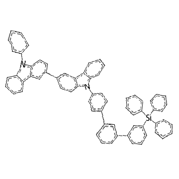 c1ccc(-n2c3ccccc3c3cc(-c4ccc5c(c4)c4ccccc4n5-c4ccc(-c5cccc(-c6cccc([Si](c7ccccc7)(c7ccccc7)c7ccccc7)c6)c5)cc4)ccc32)cc1